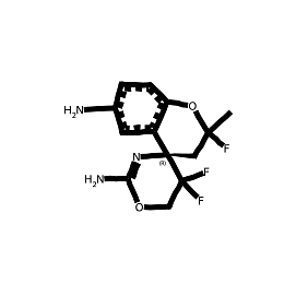 CC1(F)C[C@@]2(N=C(N)OCC2(F)F)c2cc(N)ccc2O1